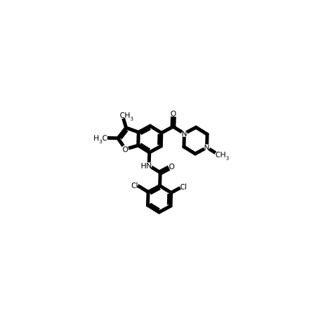 Cc1oc2c(NC(=O)c3c(Cl)cccc3Cl)cc(C(=O)N3CCN(C)CC3)cc2c1C